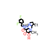 CCC1CCN(C=O)C1Cn1cc(C(=O)NCc2ccc(F)cc2F)c(=O)c(O)c1C